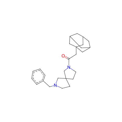 O=C(CC12CC3CC(CC(C3)C1)C2)N1CCC2(CCN(Cc3ccccc3)C2)C1